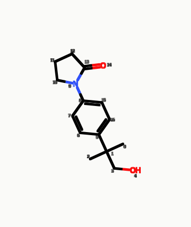 CC(C)(CO)c1ccc(N2CCCC2=O)cc1